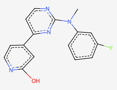 CN(c1cccc(F)c1)c1nccc(-c2ccnc(O)c2)n1